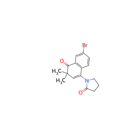 CC1(C)C=C(N2CCCC2=O)c2ccc(Br)cc2C1=O